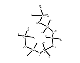 C[Si](C)(Cl)O[Si](C)(C)O[Si](C)(C)O[Si](C)(C)O[Si](C)(C)O[Si](C)(C)Cl